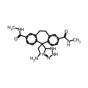 CNC(=O)c1ccc2c(c1)CCc1cc(C(=O)NC)ccc1C2(CCN)C1N=NNN1